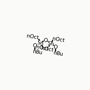 CCCCCCC[CH2][Sn]([CH2]CCCCCCC)([O]CCCC)[O][Sn]([CH2]CCCCCCC)([CH2]CCCCCCC)[O]CCCC